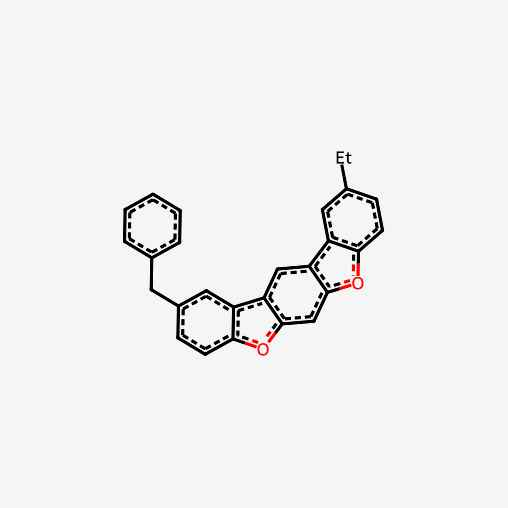 CCc1ccc2oc3cc4oc5ccc(Cc6ccccc6)cc5c4cc3c2c1